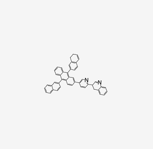 C1=Cc2ccc(-c3c4ccccc4c(-c4ccc5ccccc5c4)c4ccc(-c5ccc(C6C=Nc7ccccc7C6)nc5)cc34)cc2CC1